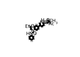 CCC1CN(C(=O)Nc2ccccc2)c2ccc(-c3ccc(OCC(C)(C)C(C)=O)nc3)cc2O1